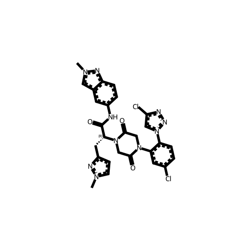 Cn1ccc(C[C@H](C(=O)Nc2ccc3nn(C)cc3c2)N2CC(=O)N(c3cc(Cl)ccc3-n3cc(Cl)nn3)CC2=O)n1